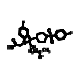 C[S+](C)[O-].Cc1c(C2CCN(S(=O)(=O)c3ccc(F)cc3)CC2)c2cc(F)ccc2n1CC(=O)O